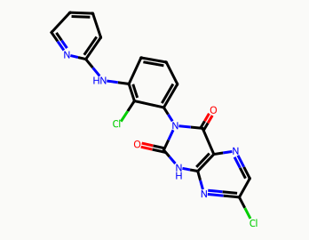 O=c1[nH]c2nc(Cl)cnc2c(=O)n1-c1cccc(Nc2ccccn2)c1Cl